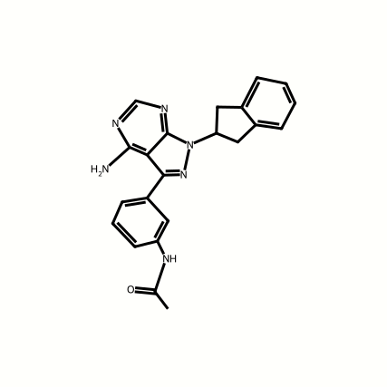 CC(=O)Nc1cccc(-c2nn(C3Cc4ccccc4C3)c3ncnc(N)c23)c1